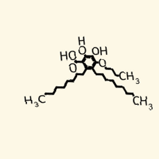 CCCCCCCCCc1c(CCCCCCCCC)c(C(=O)O)c(O)c(O)c1OCCCC